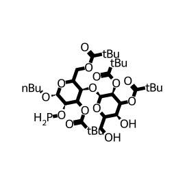 CCCCO[C@@H]1OC(COC(=O)C(C)(C)C)[C@@H](O[C@@H]2OC(CO)[C@H](O)C(OC(=O)C(C)(C)C)[C@@H]2OC(=O)C(C)(C)C)C(OC(=O)C(C)(C)C)[C@@H]1OP